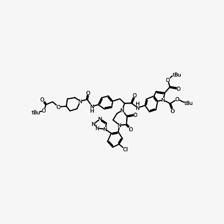 CC(C)(C)OC(=O)COC1CCN(C(=O)Nc2ccc(CC(C(=O)Nc3ccc4c(c3)cc(C(=O)OC(C)(C)C)n4C(=O)OC(C)(C)C)N3CCN(c4cc(Cl)ccc4-n4cnnn4)C(=O)C3=O)cc2)CC1